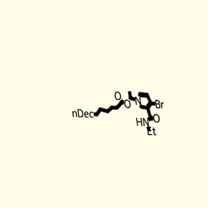 CCCCCCCCCCCCCCCC(=O)OC(C)N1C=CC(Br)=C(C(=O)NCC)C1